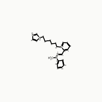 CN(/N=C/c1cccc[n+]1CCCCCCn1ccnc1)c1ccccc1